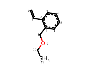 C=Cc1ccccc1COC[SiH3]